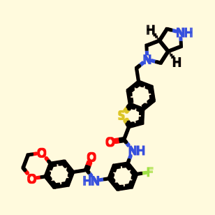 O=C(Nc1ccc(F)c(NC(=O)c2cc3ccc(CN4C[C@H]5CNC[C@H]5C4)cc3s2)c1)c1ccc2c(c1)OCCO2